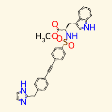 COC(=O)[C@@H](Cc1c[nH]c2ccccc12)NS(=O)(=O)c1ccc(C#Cc2ccc(Cc3ncc[nH]3)cc2)cc1